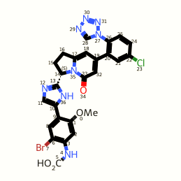 COc1cc(NC(=O)O)c(Br)cc1-c1cnc([C@@H]2CCc3cc(-c4cc(Cl)ccc4-n4cnnn4)cc(=O)n32)[nH]1